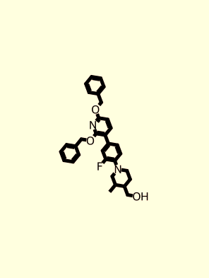 CC1CN(c2ccc(-c3ccc(OCc4ccccc4)nc3OCc3ccccc3)cc2F)CCC1CO